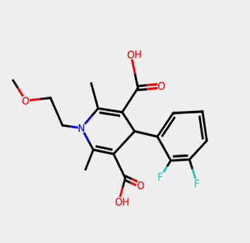 COCCN1C(C)=C(C(=O)O)C(c2cccc(F)c2F)C(C(=O)O)=C1C